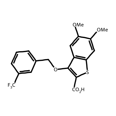 COc1cc2sc(C(=O)O)c(OCc3cccc(C(F)(F)F)c3)c2cc1OC